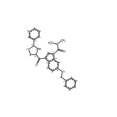 CN(C)C(=O)n1cc(C(=O)C2CSC(c3cccnc3)N2)c2ccc(OCc3ccccc3)cc21